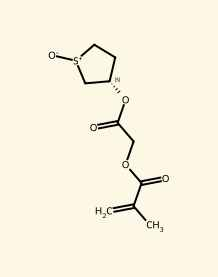 C=C(C)C(=O)OCC(=O)O[C@H]1CC[S+]([O-])C1